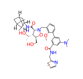 COc1c(CN2O[C@@H](CO)[C@H]([C@H](C)O)[C@H]2C(=O)N[C@H]2C[C@H]3C[C@@H]([C@@H]2C)C3(C)C)cccc1-c1cc(C(=O)NCc2nccs2)cc(N(C)C)c1